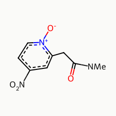 CNC(=O)Cc1cc([N+](=O)[O-])cc[n+]1[O-]